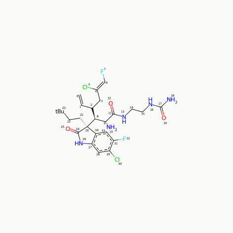 C=CC(C/C(Cl)=C/F)[C@@H]([C@@H](N)C(=O)NCCNC(N)=O)[C@]1(CCC(C)(C)C)C(=O)Nc2cc(Cl)c(F)cc21